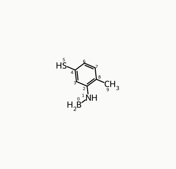 BNc1cc(S)ccc1C